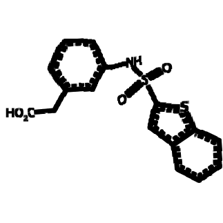 O=C(O)Cc1cccc(NS(=O)(=O)c2cc3ccccc3s2)c1